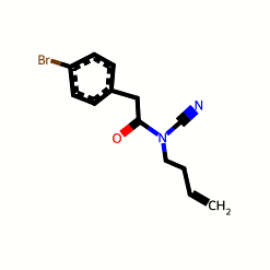 C=CCCN(C#N)C(=O)Cc1ccc(Br)cc1